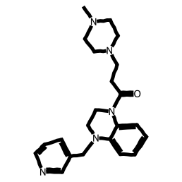 CN1CCN(CCC(=O)N2CCN(Cc3cccnc3)c3ccccc32)CC1